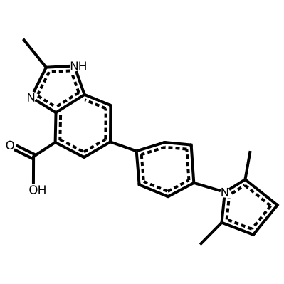 Cc1nc2c(C(=O)O)cc(-c3ccc(-n4c(C)ccc4C)cc3)cc2[nH]1